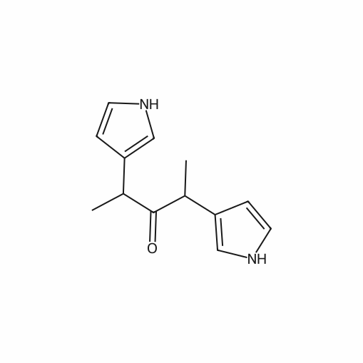 CC(C(=O)C(C)c1cc[nH]c1)c1cc[nH]c1